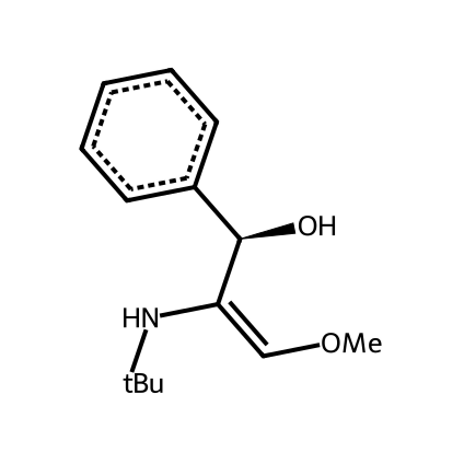 CO/C=C(/NC(C)(C)C)[C@H](O)c1ccccc1